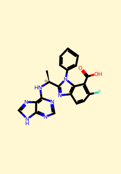 C[C@H](Nc1ncnc2[nH]cnc12)c1nc2ccc(F)c(C(=O)O)c2n1-c1ccccc1